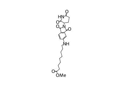 COC(=O)CCCCCCCCNc1ccc2c(c1)C(=O)N(C1CCC(=O)NC1=O)C2=O